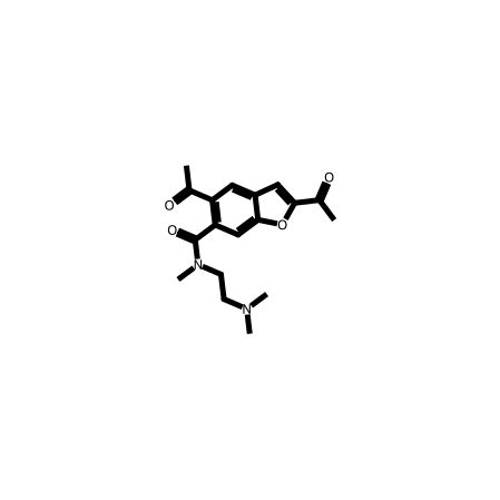 CC(=O)c1cc2cc(C(C)=O)c(C(=O)N(C)CCN(C)C)cc2o1